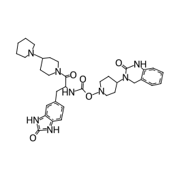 O=C(NC(Cc1ccc2[nH]c(=O)[nH]c2c1)C(=O)N1CCC(N2CCCCC2)CC1)ON1CCC(N2Cc3ccccc3NC2=O)CC1